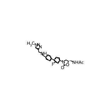 CC(=O)NC[C@H]1CN(c2ccc(-c3ccc(CNCc4cn(C)nn4)cc3)c(F)c2)C(=O)O1